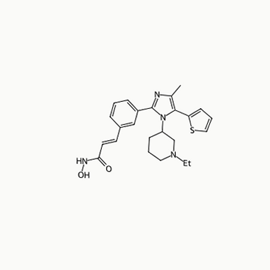 CCN1CCCC(n2c(-c3cccc(C=CC(=O)NO)c3)nc(C)c2-c2cccs2)C1